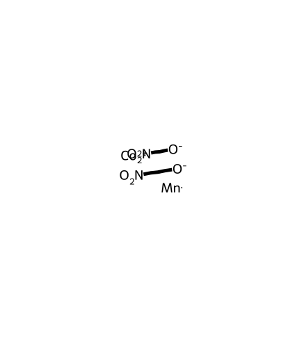 O=[N+]([O-])[O-].O=[N+]([O-])[O-].[Co+2].[Mn]